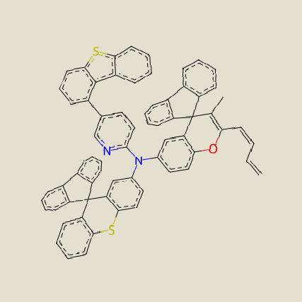 C=C/C=C\C1=C(C)C2(c3cc(N(c4ccc5c(c4)C4(c6ccccc6S5)c5ccccc5-c5ccccc54)c4ccc(-c5cccc6sc7ccccc7c56)cn4)ccc3O1)c1ccccc1-c1ccccc12